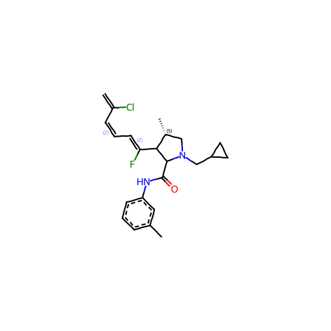 C=C(Cl)/C=C\C=C(/F)C1C(C(=O)Nc2cccc(C)c2)N(CC2CC2)C[C@H]1C